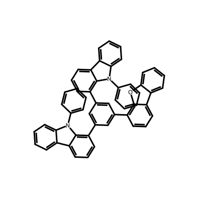 c1ccc(-n2c3ccccc3c3cccc(-c4cc(-c5cccc6c5oc5ccccc56)cc(-c5cccc6c7ccccc7n(-c7ccccc7)c56)c4)c32)cc1